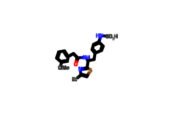 CCc1csc(C(Cc2ccc(NS(=O)(=O)O)cc2)NC(=O)Cc2cccc(OC)c2)n1